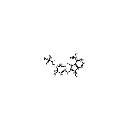 CNc1nccc2c1C(C)N(Cc1cnc(OCC(F)(F)F)c(C)c1)C2=O